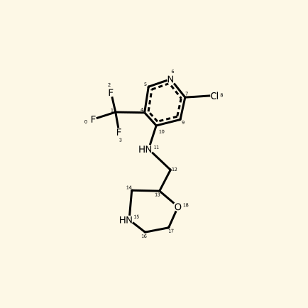 FC(F)(F)c1cnc(Cl)cc1NCC1CNCCO1